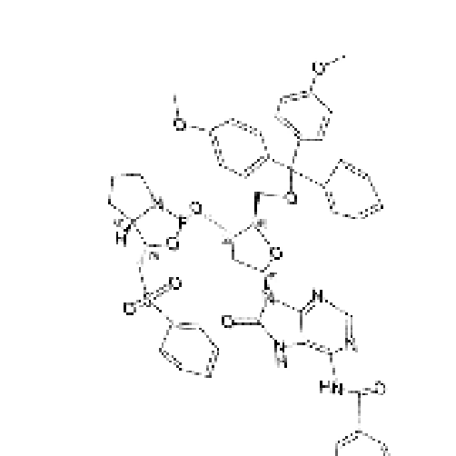 COc1ccc(C(OC[C@H]2O[C@@H](n3c(=O)[nH]c4c(NC(=O)c5ccccc5)ncnc43)C[C@@H]2OP2O[C@H](CS(=O)(=O)c3ccccc3)[C@@H]3CCCN32)(c2ccccc2)c2ccc(OC)cc2)cc1